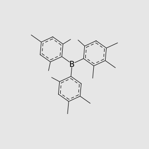 Cc1cc(C)c(B(c2cc(C)c(C)cc2C)c2c(C)cc(C)c(C)c2C)c(C)c1